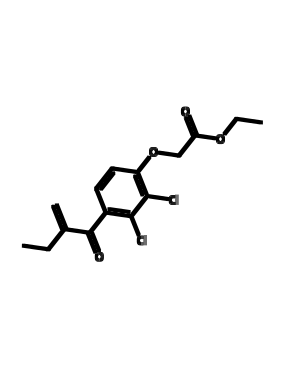 C=C(CC)C(=O)c1ccc(OCC(=O)OCC)c(Cl)c1Cl